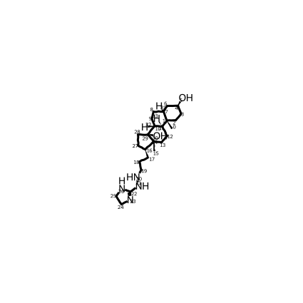 C[C@]12CC[C@H](O)C[C@H]1CC[C@@H]1[C@@H]2CC[C@]2(C)[C@@H](CCCNNC3=NCCN3)CC[C@]12O